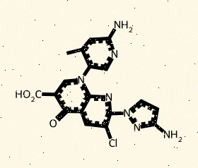 Cc1cc(N)ncc1-n1cc(C(=O)O)c(=O)c2cc(Cl)c(-n3ccc(N)n3)nc21